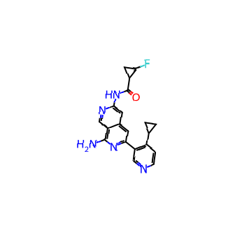 Nc1nc(-c2cnccc2C2CC2)cc2cc(NC(=O)C3CC3F)ncc12